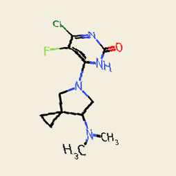 CN(C)C1CN(c2[nH]c(=O)nc(Cl)c2F)CC12CC2